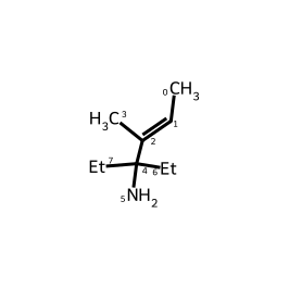 C/C=C(\C)C(N)(CC)CC